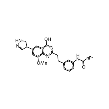 CCCC(=O)Nc1cccc(CCc2nc(O)c3cc(C4C=NNC4)cc(OC)c3n2)c1